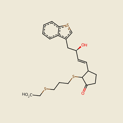 O=C(O)CSCCCSC1C(=O)CCC1C=C[C@H](O)Cc1csc2ccccc12